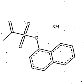 C=C(C)S(=O)(=O)Oc1cccc2ccccc12.[KH]